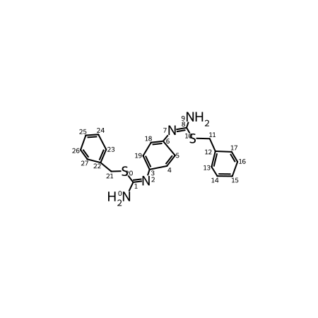 NC(=Nc1ccc(N=C(N)SCc2ccccc2)cc1)SCc1ccccc1